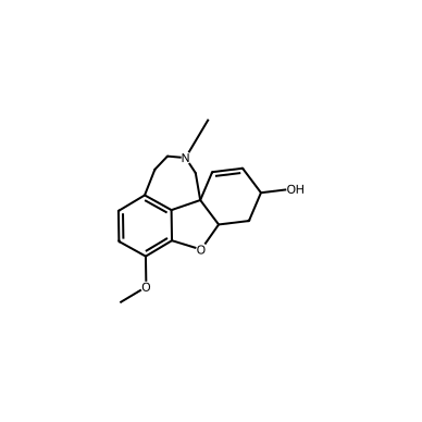 COc1ccc2c3c1OC1CC(O)C=CC31CN(C)CC2